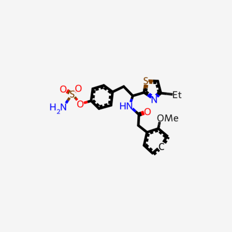 CCc1csc(C(Cc2ccc(OS(N)(=O)=O)cc2)NC(=O)Cc2ccccc2OC)n1